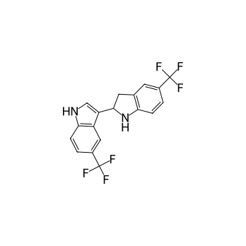 FC(F)(F)c1ccc2c(c1)CC(c1c[nH]c3ccc(C(F)(F)F)cc13)N2